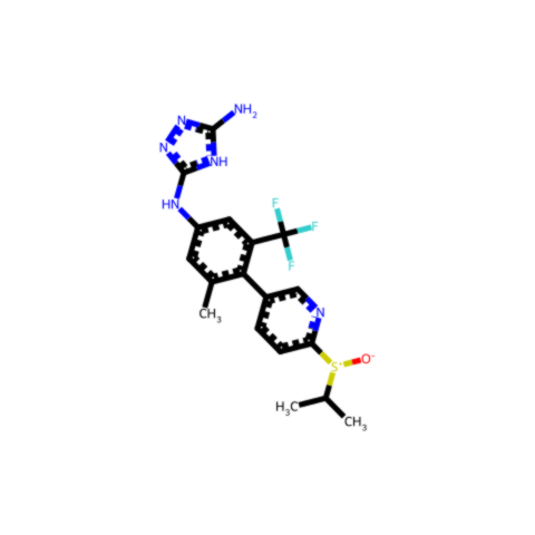 Cc1cc(Nc2nnc(N)[nH]2)cc(C(F)(F)F)c1-c1ccc([S+]([O-])C(C)C)nc1